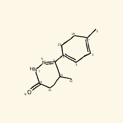 CC1=CC=C(C2=NNC(=O)CC2C)CC1